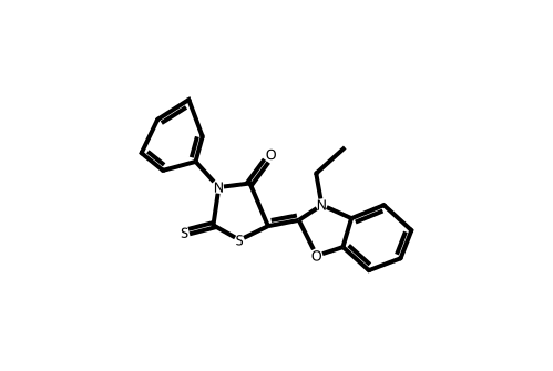 CCN1C(=C2SC(=S)N(c3ccccc3)C2=O)Oc2ccccc21